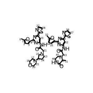 Cc1ccc(-c2nc(NC(=O)CN3CCC(N4CCOCC4)C3)cc(-c3nccs3)n2)o1.Cc1ccc(-c2nc(NC(=O)CN3CCNC(=O)C3C)cc(-c3nccs3)n2)o1